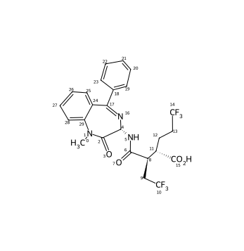 CN1C(=O)[C@@H](NC(=O)[C@H](CC(F)(F)F)[C@H](CCC(F)(F)F)C(=O)O)N=C(c2ccccc2)c2ccccc21